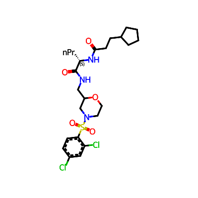 CCC[C@H](NC(=O)CCC1CCCC1)C(=O)NCC1CN(S(=O)(=O)c2ccc(Cl)cc2Cl)CCO1